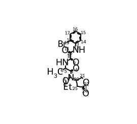 CCON(C(=O)C(C)NC(=O)C(=O)Nc1ccccc1Br)C1COC(=O)C1